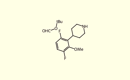 CC(C)(C)OC=O.COc1c(F)ccc(F)c1C1CCNCC1